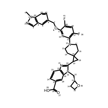 Cn1ncc2cc(COc3nc(N4CCC5(CC4)CC5c4nc5ccc(C(=O)O)cc5n4C[C@@H]4CCO4)c(F)cc3F)ccc21